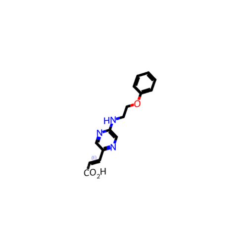 O=C(O)/C=C/c1cnc(NCCOc2ccccc2)cn1